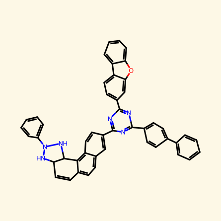 C1=CC2NN(c3ccccc3)NC2c2c1ccc1cc(-c3nc(-c4ccc(-c5ccccc5)cc4)nc(-c4ccc5c(c4)oc4ccccc45)n3)ccc21